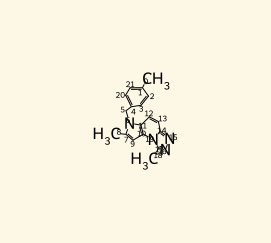 Cc1ccc(Cn2c(C)cc3c2ccc2nnc(C)n23)cc1